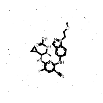 COCCn1ncc2cc(Nc3nc(N[C@@H](C4CC4)[C@H](C)NC(=O)O)c(F)cc3C#N)ccc21